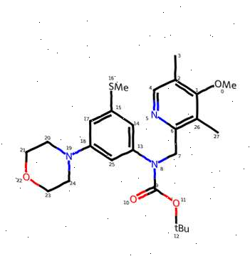 COc1c(C)cnc(CN(C(=O)OC(C)(C)C)c2cc(SC)cc(N3CCOCC3)c2)c1C